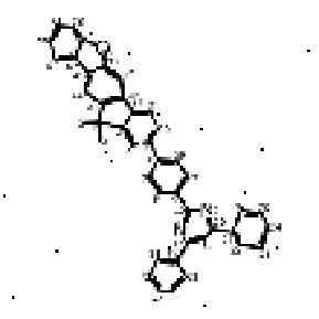 CC1(C)c2cc(-c3ccc(-c4nc(-c5ccccc5)cc(-c5ccccc5)n4)cc3)ccc2-c2cc3oc4ccccc4c3cc21